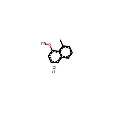 Cc1cccc2cccc([O][Ti+2])c12.[Cl-].[Cl-]